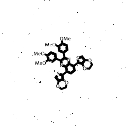 COc1ccc(-c2nc3c(-c4scc5c4OCCO5)ccc(-c4scc5c4OCCO5)c3nc2-c2ccc(OC)c(OC)c2)cc1OC